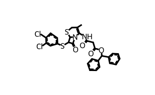 CC1=C(NC(=O)CC(=O)OC(c2ccccc2)c2ccccc2)N2C(=O)C(Sc3ccc(Cl)c(Cl)c3)C2SC1